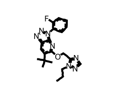 CCCn1ncnc1COc1nc2c(cc1C(C)(C)C)nnn2-c1ccccc1F